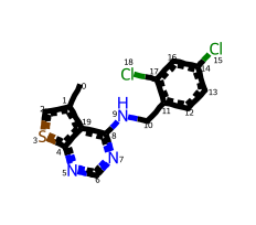 Cc1csc2ncnc(NCc3ccc(Cl)cc3Cl)c12